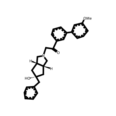 COc1cccc(-c2cccc(C(=O)CN3C[C@@H]4C[C@@](O)(Cc5ccccc5)C[C@@H]4C3)c2)c1